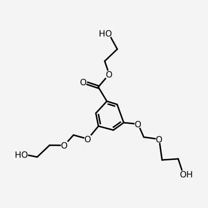 O=C(OCCO)c1cc(OCOCCO)cc(OCOCCO)c1